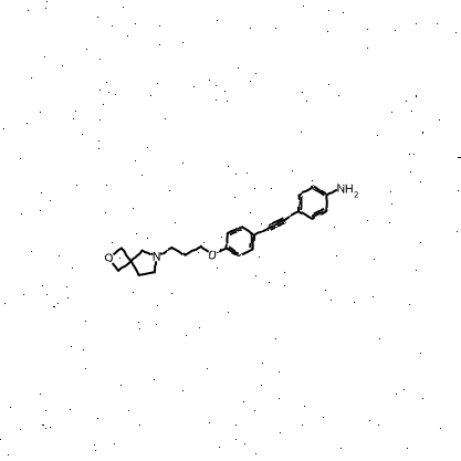 Nc1ccc(C#Cc2ccc(OCCCN3CCC4(COC4)C3)cc2)cc1